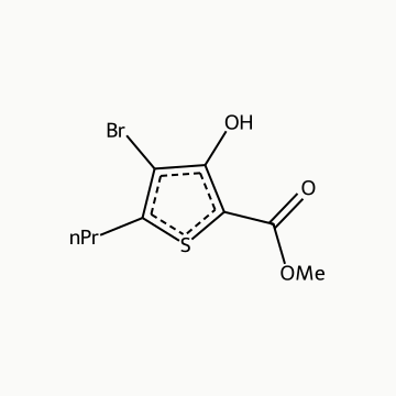 CCCc1sc(C(=O)OC)c(O)c1Br